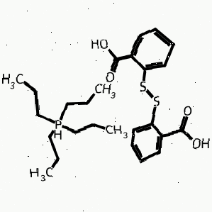 CCC[PH](CCC)(CCC)CCC.O=C(O)c1ccccc1SSc1ccccc1C(=O)O